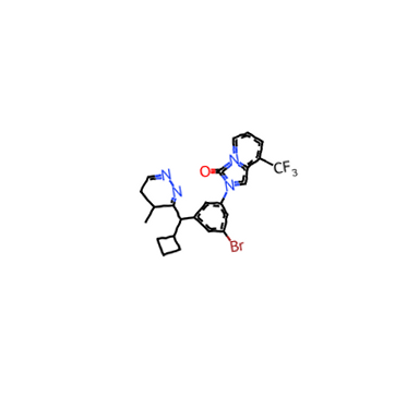 CC1CC=NN=C1C(c1cc(Br)cc(-n2cc3c(C(F)(F)F)cccn3c2=O)c1)C1CCC1